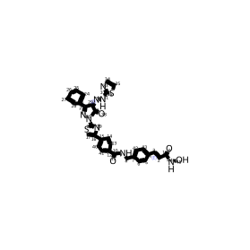 O=C(/C=C/c1ccc(CNC(=O)c2ccc(-c3csc(N4N=C(c5ccccc5)/C(=N/Nc5nccs5)C4=O)n3)cc2)cc1)NO